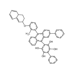 Cc1c(OC2C=C3C=CC=CC3CC2)cccc1-c1c2ccccc2c(-c2c(O)c(O)c(-c3ccccc3)c(O)c2O)c2cc(-c3ccccc3)ccc12